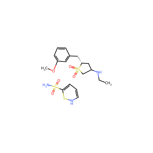 CCNC1C[C@@H](Cc2cccc(OC)c2)S(=O)(=O)C1.NS(=O)(=O)C1=CC=CNS1